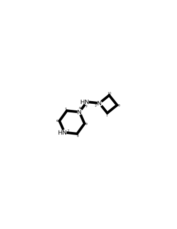 C1CN(NN2CCNCC2)C1